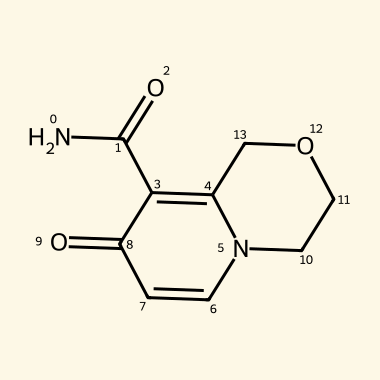 NC(=O)c1c2n(ccc1=O)CCOC2